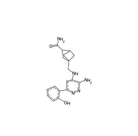 NC(=O)C1CC2(CNc3cc(-c4ccccc4O)nnc3N)CC1C2